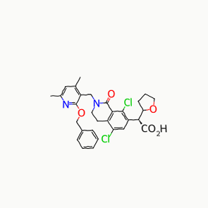 Cc1cc(C)c(CN2CCc3c(Cl)cc([C@H](C(=O)O)C4CCCO4)c(Cl)c3C2=O)c(OCc2ccccc2)n1